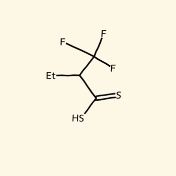 CCC(C(=S)S)C(F)(F)F